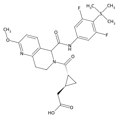 COc1ccc2c(n1)CCN(C(=O)[C@@H]1C[C@H]1CC(=O)O)C2C(=O)Nc1cc(F)c(S(C)(C)C)c(F)c1